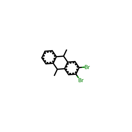 CC1c2ccccc2C(C)c2cc(Br)c(Br)cc21